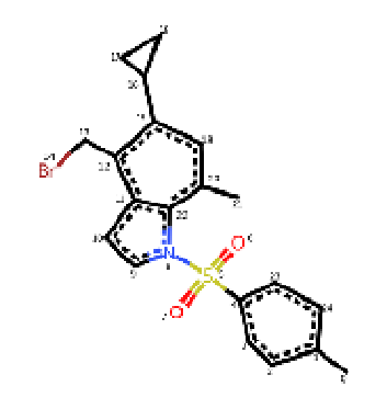 Cc1ccc(S(=O)(=O)n2ccc3c(CBr)c(C4CC4)cc(C)c32)cc1